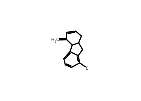 C=C1C=CCC2Cc3c(Cl)cccc3C12